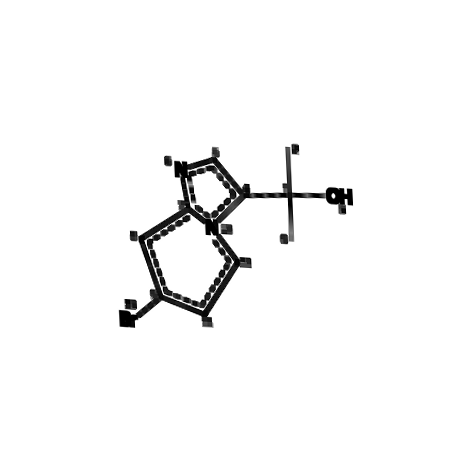 CC(C)(O)c1cnc2cc(Br)ccn12